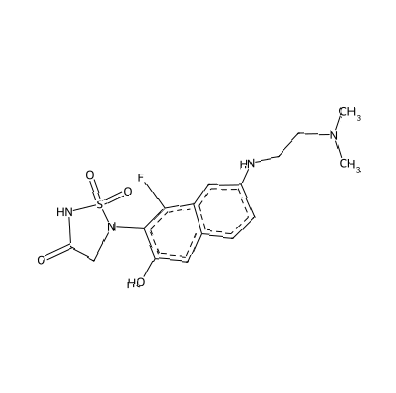 CN(C)CCNc1ccc2cc(O)c(N3CC(=O)NS3(=O)=O)c(F)c2c1